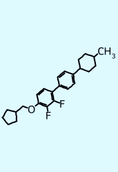 CC1CCC(c2ccc(-c3ccc(OCC4CCCC4)c(F)c3F)cc2)CC1